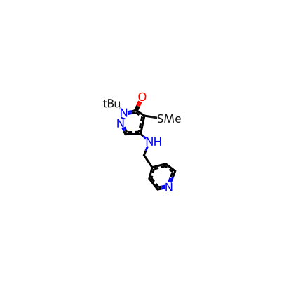 CSc1c(NCc2ccncc2)cnn(C(C)(C)C)c1=O